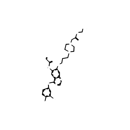 C=CC(=O)Nc1cc2c(Nc3ccc(F)c(Br)c3)ncnc2cc1OCCCN1CCN(CC(=O)OCC)CC1